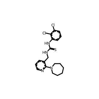 S=C(NCc1cccnc1N1CCCCCC1)Nc1cccc(Cl)c1Cl